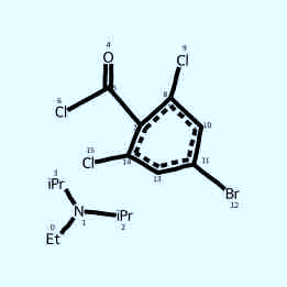 CCN(C(C)C)C(C)C.O=C(Cl)c1c(Cl)cc(Br)cc1Cl